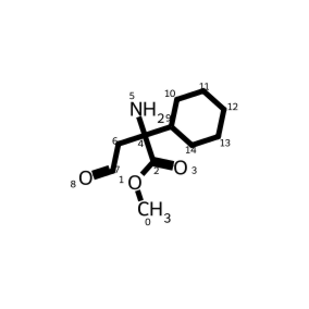 COC(=O)C(N)(CC=O)C1CCCCC1